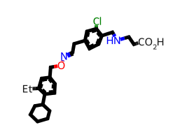 CCc1cc(CON=CCc2ccc(CNCCC(=O)O)c(Cl)c2)ccc1C1CCCCC1